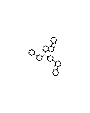 c1ccc(-c2cccc(N(c3ccc(-c4cccc5c4sc4ccccc45)cc3)c3cccc4c3ccc3sc5ccccc5c34)c2)cc1